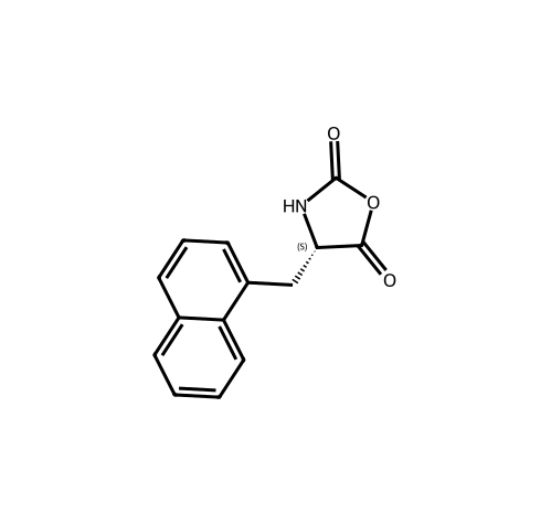 O=C1N[C@@H](Cc2cccc3ccccc23)C(=O)O1